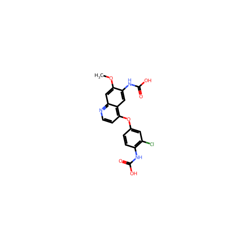 COc1cc2nccc(Oc3ccc(NC(=O)O)c(Cl)c3)c2cc1NC(=O)O